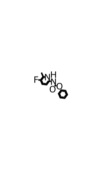 Cc1nc(NC(=O)Oc2ccccc2)ccc1F